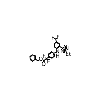 CCn1nnc(-c2cc(C(F)F)ccc2Nc2ccc(C(F)(F)C(=O)OCc3ccccc3)cc2)n1